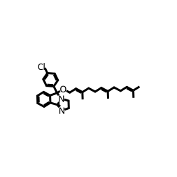 CC(C)=CCC/C(C)=C/CC/C(C)=C/COC1(c2ccc(Cl)cc2)c2ccccc2C2=NCCN21